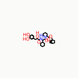 CC1(C)C2CCC1(C)C(OC(=O)C1CCCCN1C(=O)C(NC(=O)C(O)Cc1ccc(O)c(O)c1)C1CCCCC1)C2